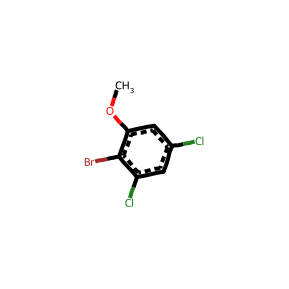 COc1cc(Cl)cc(Cl)c1Br